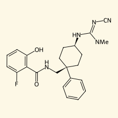 CN/C(=N\C#N)N[C@H]1CC[C@](CNC(=O)c2c(O)cccc2F)(c2ccccc2)CC1